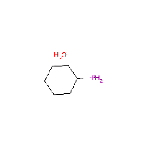 O.PC1CCCCC1